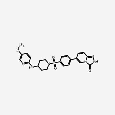 O=c1[nH]nc2ccc(-c3ccc(S(=O)(=O)N4CCC(Nc5ccc(OC(F)(F)F)cn5)CC4)cc3)cn12